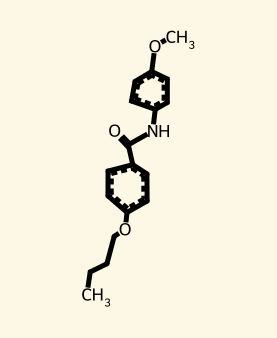 CCCCOc1ccc(C(=O)Nc2ccc(OC)cc2)cc1